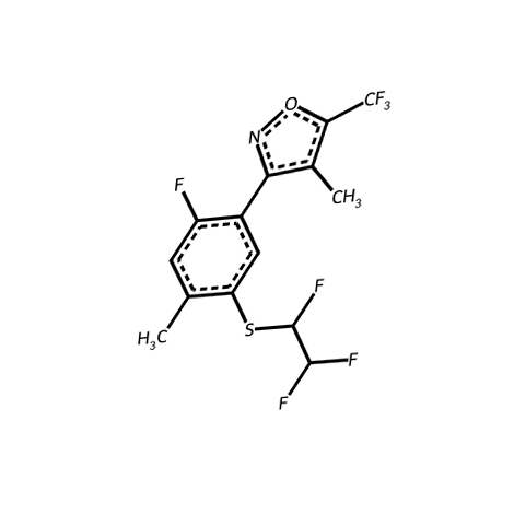 Cc1cc(F)c(-c2noc(C(F)(F)F)c2C)cc1SC(F)C(F)F